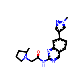 CC1CCCN1CC(=O)Nc1ncc2ccc(-c3cnn(C)c3)cc2n1